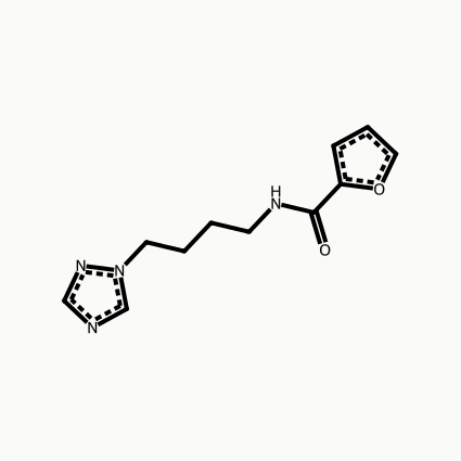 O=C(NCCCCn1cncn1)c1ccco1